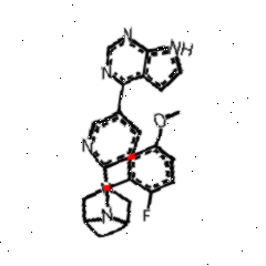 COc1ccc(F)c(CN2C3CC2CN(c2ccc(-c4ncnc5[nH]ccc45)cn2)C3)c1